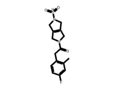 Cc1cc(F)ccc1CC(=O)N1CC2=C(C1)CN([SH](=O)=O)C2